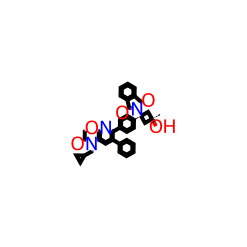 C[C@]1(O)C[C@@](c2ccc(-c3nc4c(cc3-c3ccccc3)N(CC3CC3)C(=O)CO4)cc2)(N2C(=O)c3ccccc3C2=O)C1